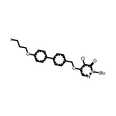 CC(C)(C)n1ncc(OCc2ccc(-c3ccc(OCCCI)cc3)cc2)c(Cl)c1=O